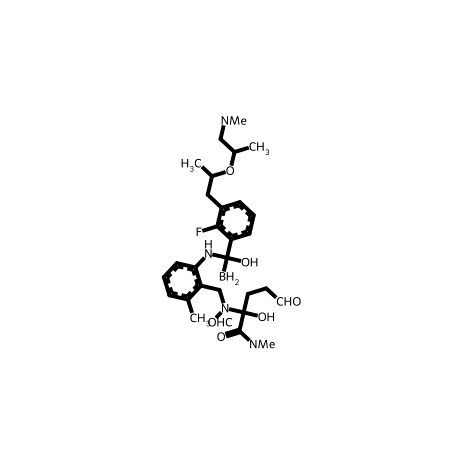 BC(O)(Nc1cccc(C)c1CN(C=O)C(O)(CCC=O)C(=O)NC)c1cccc(CC(C)OC(C)CNC)c1F